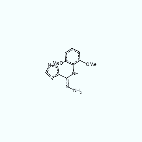 COc1cccc(OC)c1N/C(=N\N)c1cncs1